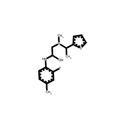 Cc1ccc(NC(O)CN(C)C(C)c2cccs2)c(F)c1